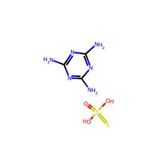 Nc1nc(N)nc(N)n1.O=S(O)(O)=S